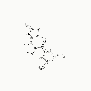 Cc1cc(C(=O)O)cc(C(=O)N2CCCC2c2nc(C)cs2)c1